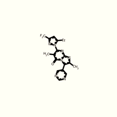 CCc1cc(C(F)(F)F)nn1-c1nc2sc(C)c(-c3cncnc3)n2c(=O)c1C